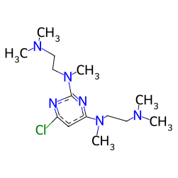 CN(C)CCN(C)c1cc(Cl)nc(N(C)CCN(C)C)n1